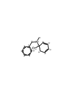 CCC1(N(C)Cc2ccccc2)C=CC=CC1